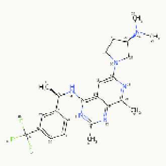 Cc1nc(N[C@H](C)c2cccc(C(F)(F)F)c2)c2cc(N3CC[C@@H](N(C)C)C3)nc(C)c2n1